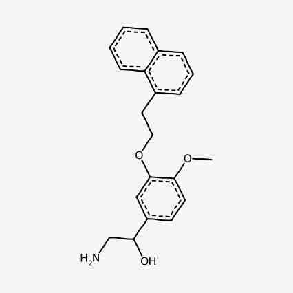 COc1ccc(C(O)CN)cc1OCCc1cccc2ccccc12